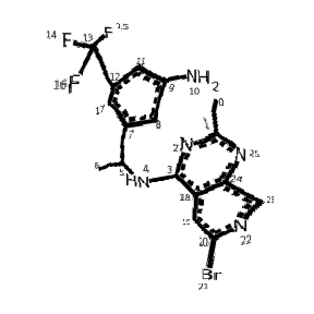 Cc1nc(NC(C)c2cc(N)cc(C(F)(F)F)c2)c2cc(Br)ncc2n1